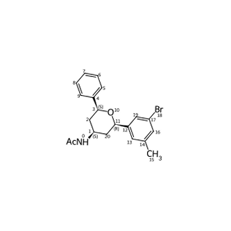 CC(=O)N[C@H]1C[C@@H](c2ccccc2)O[C@@H](c2cc(C)cc(Br)c2)C1